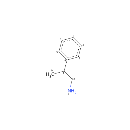 CC([CH]N)c1ccccc1